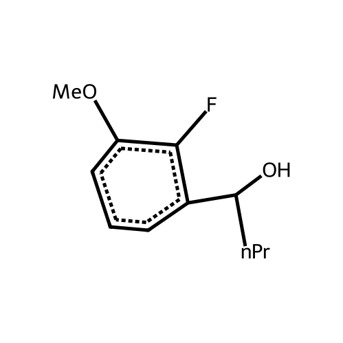 CCCC(O)c1cccc(OC)c1F